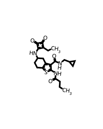 CCCC(=O)Nc1sc2c(c1C(=O)NCC1CC1)CC(Nc1c(CC)c(=O)c1=O)CC2